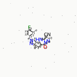 Cc1cc(Cn2cc(-c3[nH]c4c(C#N)cnn4c(=O)c3C(C)C)cn2)ccc1F